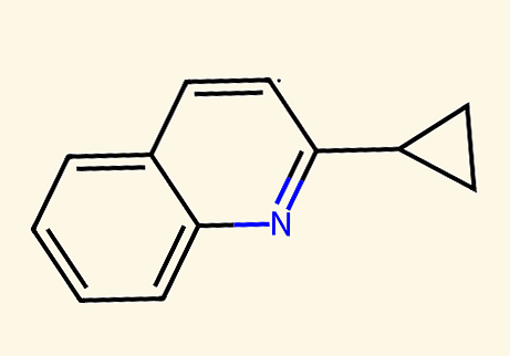 [c]1cc2ccccc2nc1C1CC1